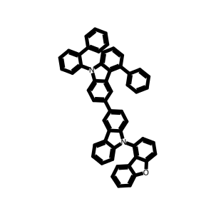 c1ccc(-c2ccccc2-n2c3ccc(-c4ccc5c(c4)c4ccccc4n5-c4cccc5oc6ccccc6c45)cc3c3c(-c4ccccc4)cccc32)cc1